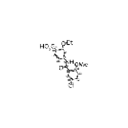 CCOc1cc(NC(=O)c2cc(Cl)ccc2OC)ccc1C(=O)O